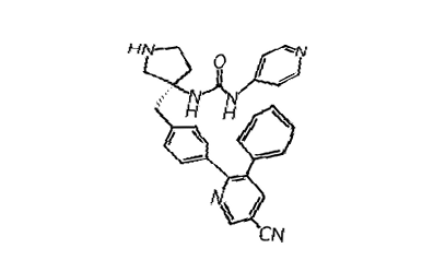 N#Cc1cnc(-c2ccc(C[C@@]3(NC(=O)Nc4ccncc4)CCNC3)cc2)c(-c2ccccc2)c1